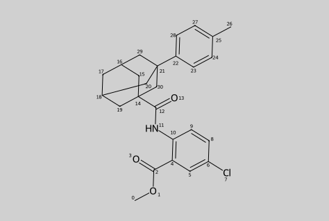 COC(=O)c1cc(Cl)ccc1NC(=O)C12CC3CC(C1)CC(c1ccc(C)cc1)(C3)C2